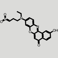 CCN(CCC=S(=O)=O)c1ccc2nc3c4cc(O)ccc4c(=O)cc-3oc2c1